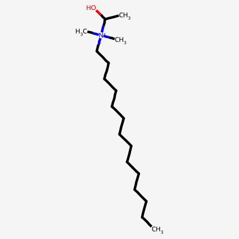 CCCCCCCCCCCCCC[N+](C)(C)C(C)O